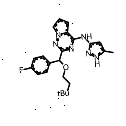 Cc1cc(Nc2nc(C(OCCC(C)(C)C)c3ccc(F)cc3)nn3cccc23)n[nH]1